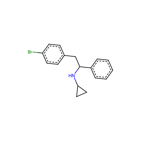 Brc1ccc(CC(NC2CC2)c2ccccc2)cc1